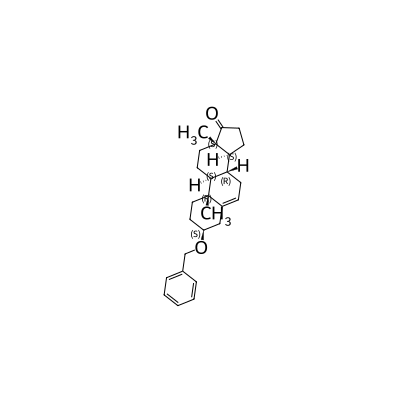 C[C@]12CC[C@H](OCc3ccccc3)CC1=CC[C@@H]1[C@@H]2CC[C@]2(C)C(=O)CC[C@@H]12